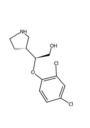 OC[C@@H](Oc1ccc(Cl)cc1Cl)[C@@H]1CCNC1